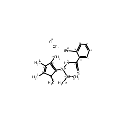 CC1=C(C)C(C)[C]([Zr+2]([NH]C(=O)c2ccccc2C(C)C)[SiH](C)C)=C1C.[Cl-].[Cl-]